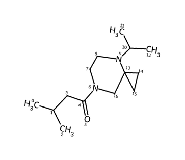 CC(C)CC(=O)N1CCN(C(C)C)C2(CC2)C1